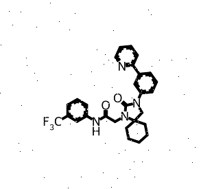 O=C(CN1C(=O)N(c2cccc(-c3ccccn3)c2)CC12CCCCC2)Nc1cccc(C(F)(F)F)c1